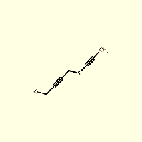 CC#CSCC#CC[O]